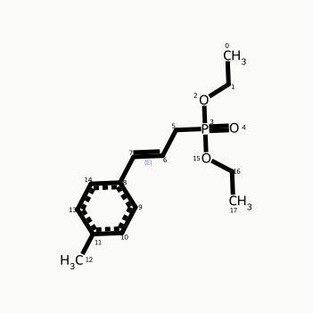 CCOP(=O)(C/C=C/c1ccc(C)cc1)OCC